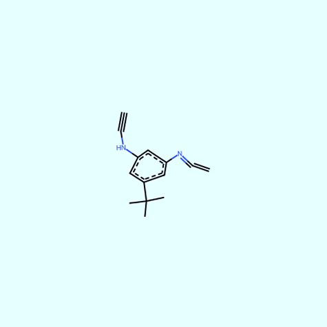 C#CNc1cc(N=C=C)cc(C(C)(C)C)c1